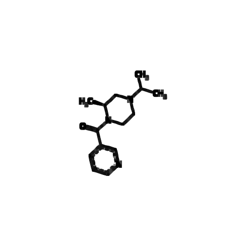 CC(C)N1CCN(C(=O)c2cccnc2)[C@@H](C)C1